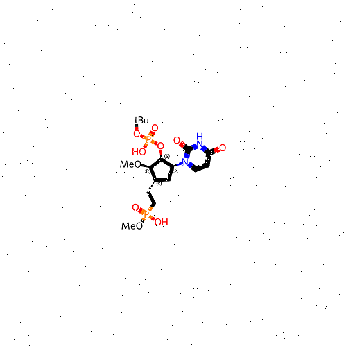 CO[C@@H]1[C@@H](CCP(=O)(O)OC)C[C@H](n2ccc(=O)[nH]c2=O)[C@@H]1OP(=O)(O)OC(C)(C)C